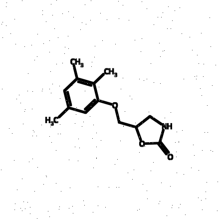 Cc1cc(C)c(C)c(OCC2CNC(=O)O2)c1